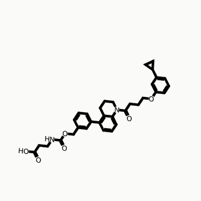 O=C(O)CCNC(=O)OCc1cccc(-c2cccc3c2CCCN3C(=O)CCCOc2cccc(C3CC3)c2)c1